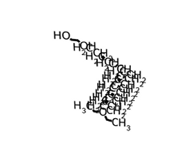 C=C.C=C.C=C.C=C.C=C.C=C.C=C.C=C.C=C.C=C.C=C.C=C.CCOCC.OCCO